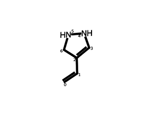 C=CC1=CNNC1